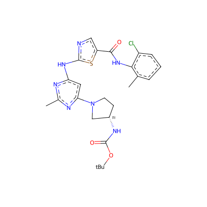 Cc1nc(Nc2ncc(C(=O)Nc3c(C)cccc3Cl)s2)cc(N2CC[C@H](NC(=O)OC(C)(C)C)C2)n1